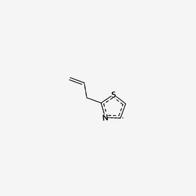 C=CCc1n[c]cs1